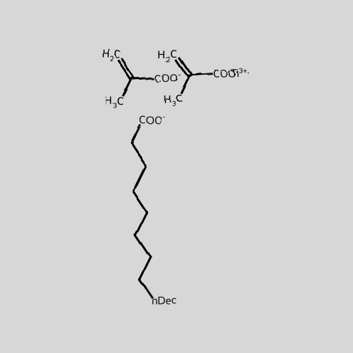 C=C(C)C(=O)[O-].C=C(C)C(=O)[O-].CCCCCCCCCCCCCCCCCC(=O)[O-].[Ti+3]